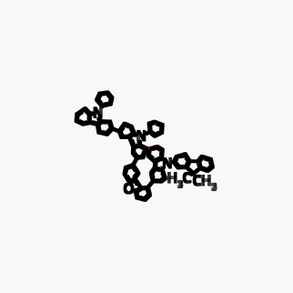 CC1(C)c2ccccc2-c2ccc(-n3c4ccccc4c4cc(-c5cccc6oc7ccc(-c8ccc9c(c8)c8cc(-c%10ccc%11c%12ccccc%12n(-c%12ccccc%12)c%11c%10)ccc8n9-c8ccccc8)cc7c56)ccc43)cc21